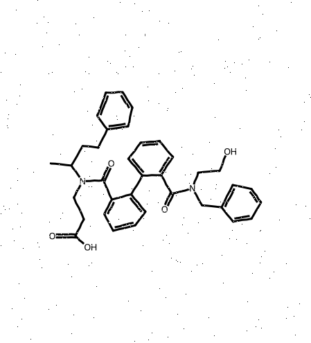 CC(CCc1ccccc1)N(CCC(=O)O)C(=O)c1ccccc1-c1ccccc1C(=O)N(CCO)Cc1ccccc1